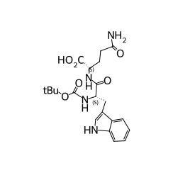 CC(C)(C)OC(=O)N[C@@H](Cc1c[nH]c2ccccc12)C(=O)N[C@@H](CCC(N)=O)C(=O)O